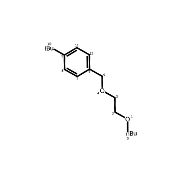 CCCCOCCOCc1ccc(C(C)CC)cc1